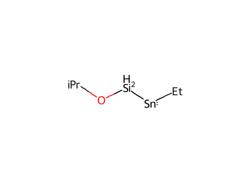 C[CH2][Sn][SiH2]OC(C)C